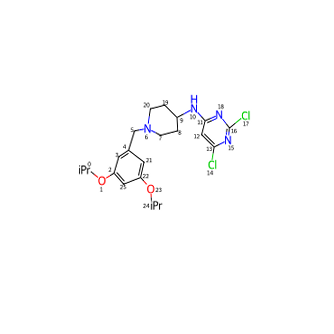 CC(C)Oc1cc(CN2CCC(Nc3cc(Cl)nc(Cl)n3)CC2)cc(OC(C)C)c1